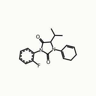 CC(C)C1C(=O)N(c2ccccc2F)C(=O)N1C1=CCCC=C1